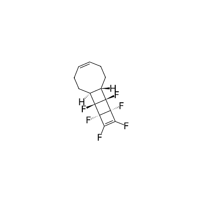 FC1=C(F)[C@]2(F)[C@@]1(F)[C@@]1(F)[C@H]3CC/C=C\CC[C@@H]3[C@@]21F